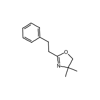 CC1(C)COC(CCc2ccccc2)=N1